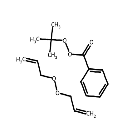 C=CCOOCC=C.CC(C)(C)OOC(=O)c1ccccc1